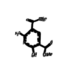 COC(=O)c1cc(C(=O)OC)c(O)nc1C